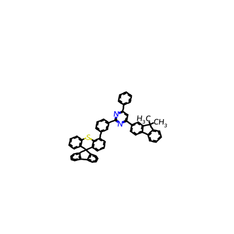 CC1(C)c2ccccc2-c2ccc(-c3cc(-c4ccccc4)nc(-c4cccc(-c5cccc6c5Sc5ccccc5C65c6ccccc6-c6ccccc65)c4)n3)cc21